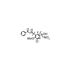 COc1c(C(C)(C)NCC(=O)c2ccccc2)cc(C(O)(C[N+](=O)[O-])C(F)(F)F)nc1Cl